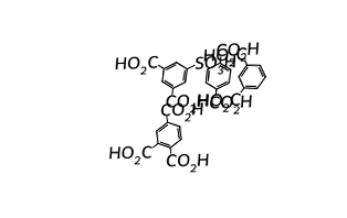 O=C(O)c1cc(C(=O)O)cc(S(=O)(=O)O)c1.O=C(O)c1ccc(C(=O)O)c(C(=O)O)c1.O=C(O)c1ccc(C(=O)O)cc1.O=C(O)c1cccc(C(=O)O)c1